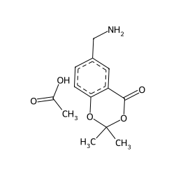 CC(=O)O.CC1(C)OC(=O)c2cc(CN)ccc2O1